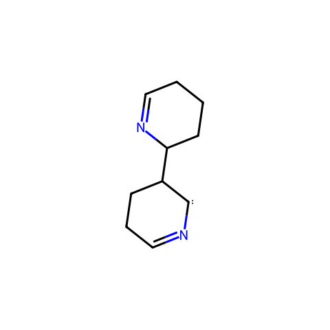 [C]1N=CCCC1C1CCCC=N1